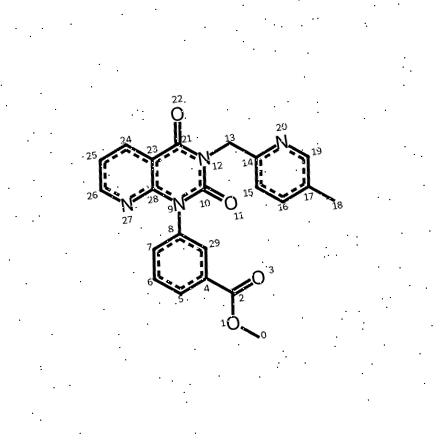 COC(=O)c1cccc(-n2c(=O)n(Cc3ccc(C)cn3)c(=O)c3cccnc32)c1